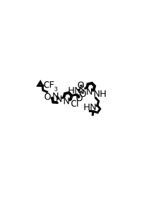 CC1(C)CCC(CCNc2cccc(S(=O)(=O)NC(=O)c3ccc(-n4ccc(OCCC5(C(F)(F)F)CC5)n4)nc3Cl)n2)N1